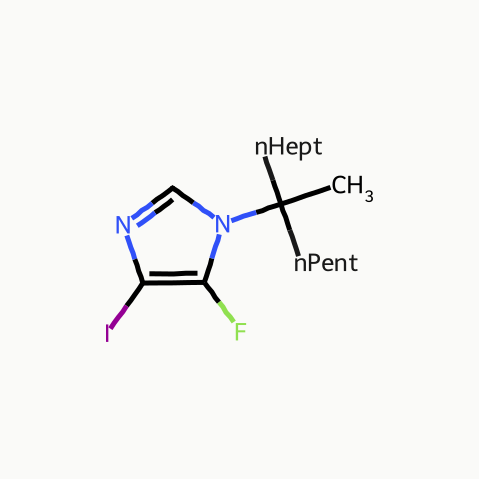 CCCCCCCC(C)(CCCCC)n1cnc(I)c1F